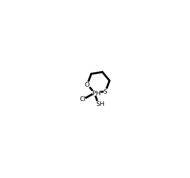 S[PH]1(Cl)OCCCS1